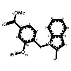 COC(=O)c1ccc(Cn2c(C)cc3ccccc32)c(OC(C)C)c1